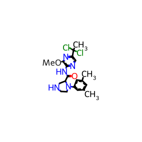 COc1nc(C(C)(Cl)Cl)cnc1NC(=O)C1CNCCN1c1cc(C)cc(C)c1